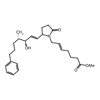 COC(=O)CCCC=CCN1C(=O)CCC1C=C[C@@H](O)[C@@H](C)CCCc1ccccc1